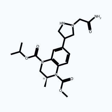 COC(=O)N1c2ccc(C3CNN(CC(N)=O)C3)cc2N(C(=O)OC(C)C)C[C@@H]1C